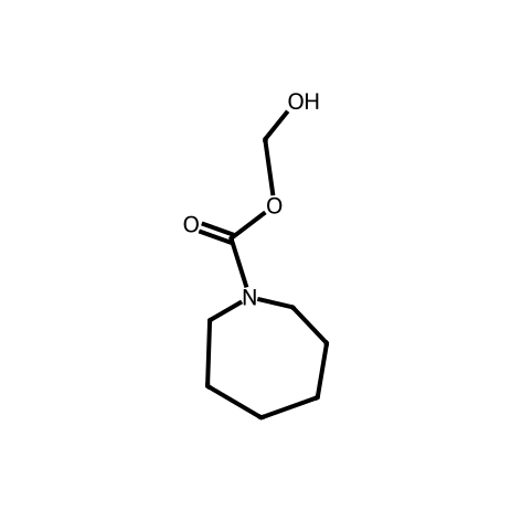 O=C(OCO)N1CCCCCC1